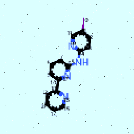 Ic1ccc(Nc2cccc(-c3ccccn3)n2)nc1